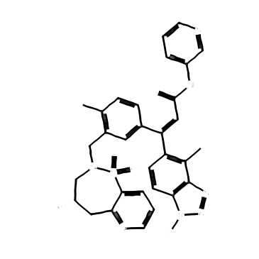 CC[C@H]1Cc2ncccc2S(=O)(=O)N(Cc2cc(C(=CC(=O)Nc3cccnc3)c3ccc4c(nnn4CC)c3C)ccc2C)C1